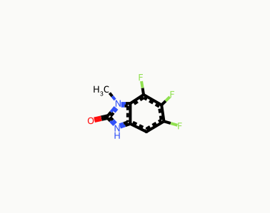 Cn1c(=O)[nH]c2cc(F)c(F)c(F)c21